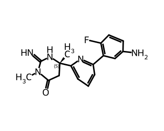 CN1C(=N)N[C@](C)(c2cccc(-c3cc(N)ccc3F)n2)CC1=O